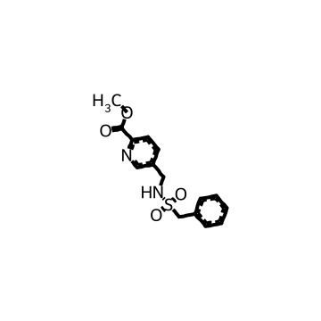 COC(=O)c1ccc(CNS(=O)(=O)Cc2ccccc2)cn1